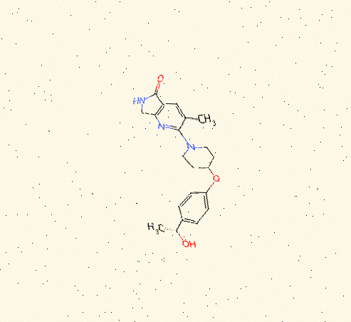 Cc1cc2c(nc1N1CCC(Oc3ccc([C@@H](C)O)cc3)CC1)CNC2=O